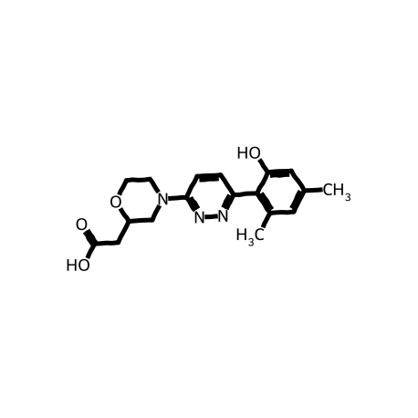 Cc1cc(C)c(-c2ccc(N3CCOC(CC(=O)O)C3)nn2)c(O)c1